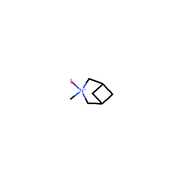 C[N+]1(I)CC2CC(C2)C1